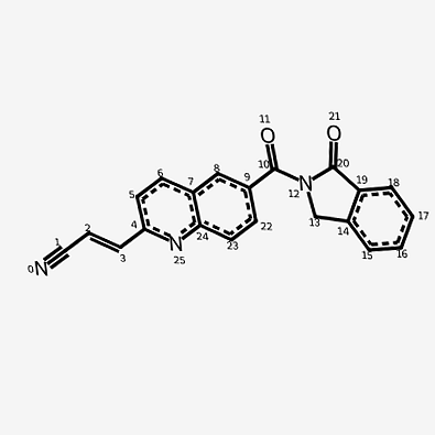 N#CC=Cc1ccc2cc(C(=O)N3Cc4ccccc4C3=O)ccc2n1